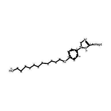 CCCCCCCC1=NCN(c2ccc(OCCCCCCCCCCCO)cc2)S1